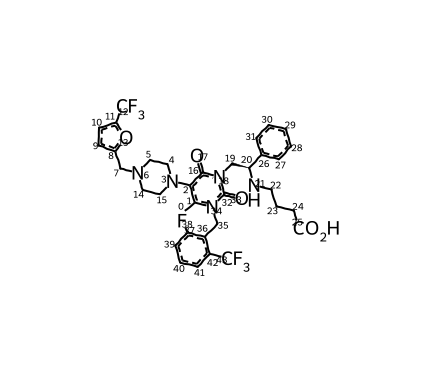 Cc1c(N2CCN(Cc3ccc(C(F)(F)F)o3)CC2)c(=O)n(C[C@H](NCCCC(=O)O)c2ccccc2)c(=O)n1Cc1c(F)cccc1C(F)(F)F